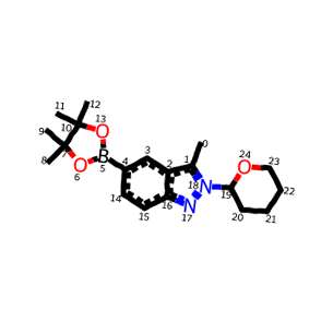 Cc1c2cc(B3OC(C)(C)C(C)(C)O3)ccc2nn1C1CCCCO1